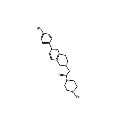 CC(C)c1ccc(-c2ccc3c(c2)CCN(CC(=O)N2CCN(C(C)C)CC2)C3)cc1